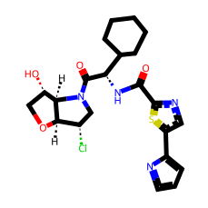 O=C(N[C@H](C(=O)N1C[C@H](Cl)[C@H]2OC[C@H](O)[C@H]21)C1CCCCC1)c1ncc(C2=CC=C=N2)s1